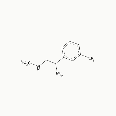 NC(CNC(=O)O)c1cccc(C(F)(F)F)c1